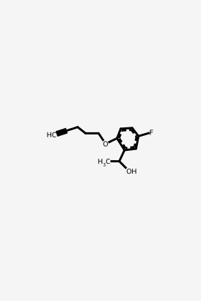 C#CCCCOc1ccc(F)cc1C(C)O